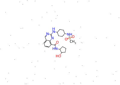 CS(=O)(=O)NC1CCC(Nc2ncc3cccc(C(=O)NC4CCCC4O)c3n2)CC1